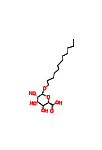 CCCCCCCCCCCCO[C@H]1O[C@@H](C(=O)O)[C@@H](O)[C@H](O)[C@@H]1O